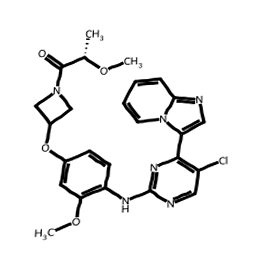 COc1cc(OC2CN(C(=O)[C@H](C)OC)C2)ccc1Nc1ncc(Cl)c(-c2cnc3ccccn23)n1